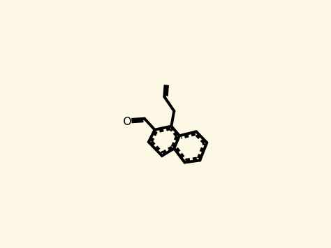 C=CCc1c(C=O)ccc2ccccc12